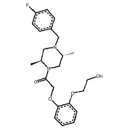 C[C@@H]1CN(C(=O)COc2ccccc2OCCO)[C@@H](C)CN1Cc1ccc(F)cc1